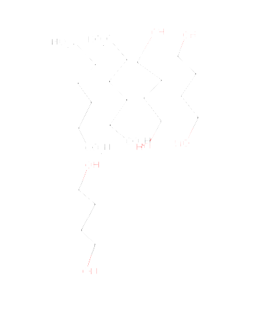 O=C(O)CCCCC(=O)O.O=C(O)CCCCC(=O)O.OCCCCO.OCCCCO.OCCCCO